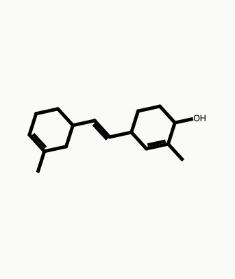 CC1=CCCC(C=CC2C=C(C)C(O)CC2)C1